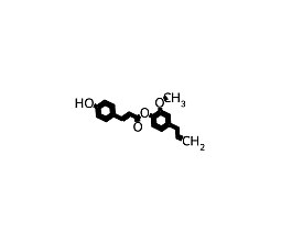 C=CCc1ccc(OC(=O)/C=C/c2ccc(O)cc2)c(OC)c1